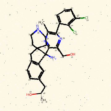 Cc1nc(C2(N)c3cc(C[C@H](C)O)ccc3CC23CCNCC3)c(CO)nc1-c1cccc(Cl)c1Cl